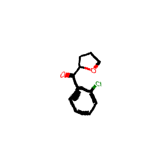 O=C(c1ccccc1Cl)C1CCCO1